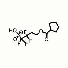 O=C(OCCC(F)(F)C(F)(F)S(=O)(=O)O)C1CCCC1